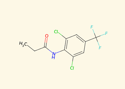 CCC(=O)Nc1c(Cl)cc(C(F)(F)F)cc1Cl